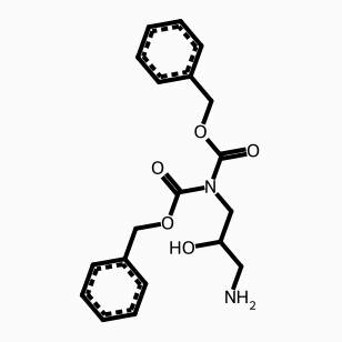 NCC(O)CN(C(=O)OCc1ccccc1)C(=O)OCc1ccccc1